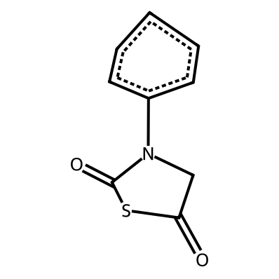 O=C1CN(c2ccccc2)C(=O)S1